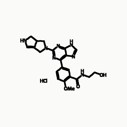 COc1ccc(-c2nc(N3CC4=CNCC4C3)nc3[nH]cnc23)cc1C(=O)NCCO.Cl